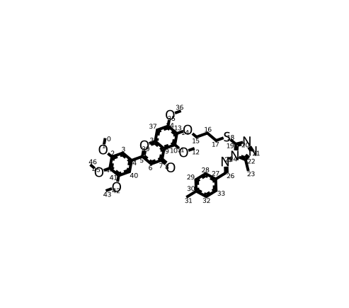 COc1cc(-c2cc(=O)c3c(OC)c(OCCCSc4nnc(C)n4N=Cc4ccc(C)cc4)c(OC)cc3o2)cc(OC)c1OC